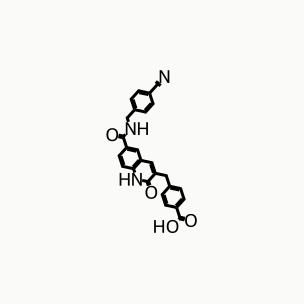 N#Cc1ccc(CNC(=O)c2ccc3[nH]c(=O)c(Cc4ccc(C(=O)O)cc4)cc3c2)cc1